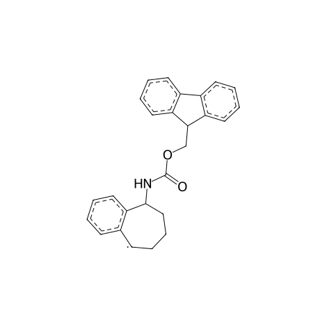 O=C(NC1CCC[CH]c2ccccc21)OCC1c2ccccc2-c2ccccc21